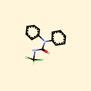 O=C(NC(F)(Cl)Cl)N(c1ccccc1)c1ccccc1